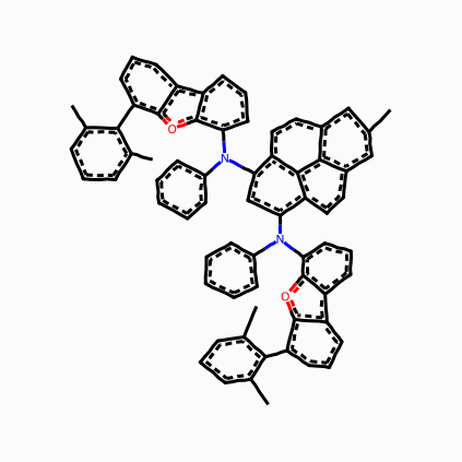 Cc1cc2ccc3c(N(c4ccccc4)c4cccc5c4oc4c(-c6c(C)cccc6C)cccc45)cc(N(c4ccccc4)c4cccc5c4oc4c(-c6c(C)cccc6C)cccc45)c4ccc(c1)c2c34